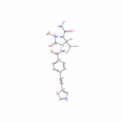 CNC(=O)NC(C)(C(F)F)[C@H](NC(=O)c1ccc(C#Cc2cnco2)cc1)C(=O)NO